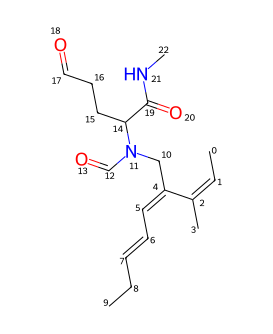 C\C=C(C)/C(=C\C=C\CC)CN(C=O)C(CCC=O)C(=O)NC